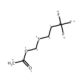 CC(=O)OCSCCC(F)(F)F